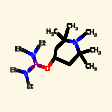 CCN(CC)P(OC1CC(C)(C)N(C)C(C)(C)C1)N(CC)CC